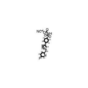 N#CCOC(=O)NS(=O)(=O)c1ccc(-c2cn(Cc3ccc(F)cn3)nn2)cc1